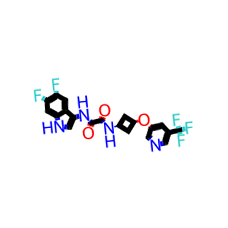 O=C(Nc1c[nH]c2cc(F)c(F)cc12)C(=O)N[C@H]1C[C@H](Oc2cncc(C(F)(F)F)c2)C1